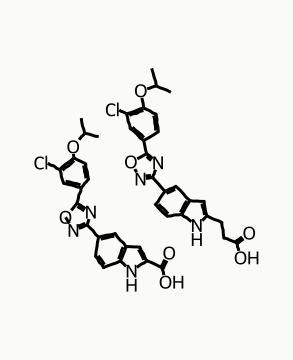 CC(C)Oc1ccc(-c2nc(-c3ccc4[nH]c(C(=O)O)cc4c3)no2)cc1Cl.CC(C)Oc1ccc(-c2nc(-c3ccc4[nH]c(CCC(=O)O)cc4c3)no2)cc1Cl